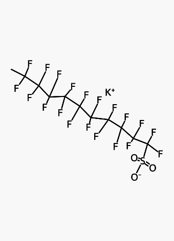 CC(F)(F)C(F)(F)C(F)(F)C(F)(F)C(F)(F)C(F)(F)C(F)(F)C(F)(F)C(F)(F)C(F)(F)S(=O)(=O)[O-].[K+]